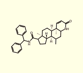 CC1CC2NC(=O)C=C[C@]2(C)[C@@H]2CC[C@]3(C)C(C(=O)NC(c4ccccc4)c4ccccc4)CC[C@H]3[C@H]12